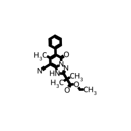 CCOC(=O)C(C)(C)c1nn2c(=O)c(-c3ccccc3)c(C)c(C#N)c2[nH]1